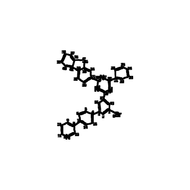 Brc1cc(-c2ccc(-c3cccnc3)cc2)cc(-c2nc(-c3ccccc3)nc(-c3ccc4c(c3)sc3ccccc34)n2)c1